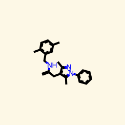 C=C(Cc1c(C)nn(-c2ccccc2)c1C)NCc1cc(C)ccc1C